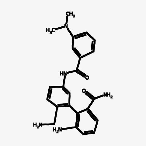 CN(C)c1cccc(C(=O)Nc2ccc(CN)c(-c3c(N)cccc3C(N)=O)c2)c1